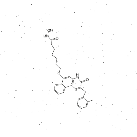 Cc1ccccc1Cc1nc2c(cc(OCCCCCCC(=O)NO)c3ccccc32)[nH]c1=O